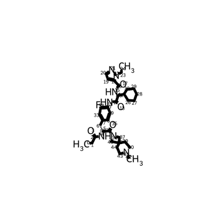 CCC(=O)N[C@H](Cc1ccc(NC(=O)[C@@H](NC(=O)c2ccnn2CC)C2CCCCC2)c(F)c1)C(=O)N1CC2(CCN(C)CC2)C1